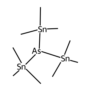 [CH3][Sn]([CH3])([CH3])[As]([Sn]([CH3])([CH3])[CH3])[Sn]([CH3])([CH3])[CH3]